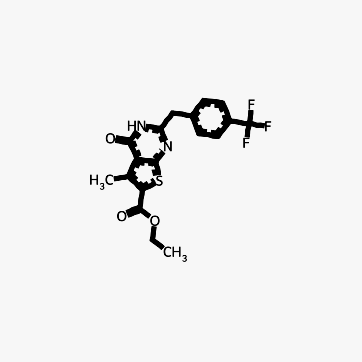 CCOC(=O)c1sc2nc(Cc3ccc(C(F)(F)F)cc3)[nH]c(=O)c2c1C